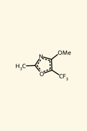 COc1nc(C)oc1C(F)(F)F